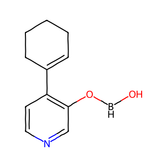 OBOc1cnccc1C1=CCCCC1